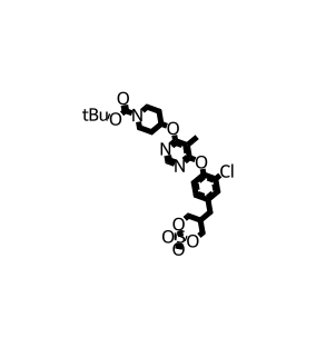 Cc1c(Oc2ccc(CC3COS(=O)(=O)OC3)cc2Cl)ncnc1OC1CCN(C(=O)OC(C)(C)C)CC1